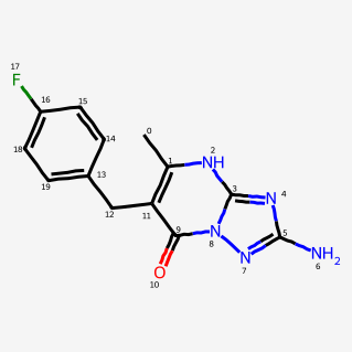 Cc1[nH]c2nc(N)nn2c(=O)c1Cc1ccc(F)cc1